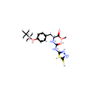 COC(=O)[C@H](Cc1ccc(O[Si](C)(C)C(C)(C)C)cc1)NC(=O)Nc1n[nH]c(=S)s1